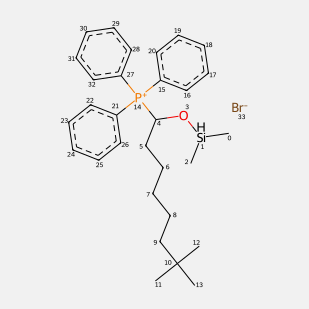 C[SiH](C)OC(CCCCCC(C)(C)C)[P+](c1ccccc1)(c1ccccc1)c1ccccc1.[Br-]